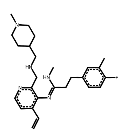 C=Cc1ccnc(CNCC2CCN(C)CC2)c1/N=C(/CCc1ccc(F)c(C)c1)NC